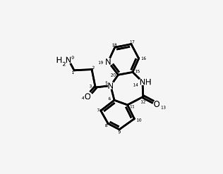 NCCC(=O)N1c2ccccc2C(=O)Nc2cccnc21